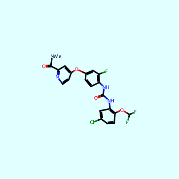 CNC(=O)c1cc(Oc2ccc(NC(=O)Nc3cc(Cl)ccc3OC(F)F)c(F)c2)ccn1